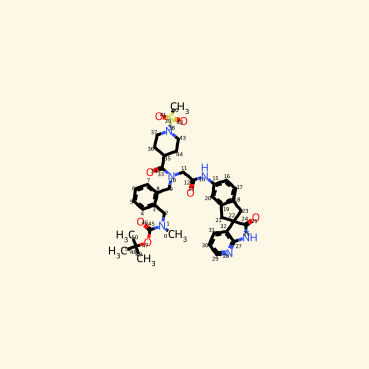 CN(Cc1ccccc1CN(CC(=O)Nc1ccc2c(c1)CC1(C2)C(=O)Nc2ncccc21)C(=O)C1CCN(S(C)(=O)=O)CC1)C(=O)OC(C)(C)C